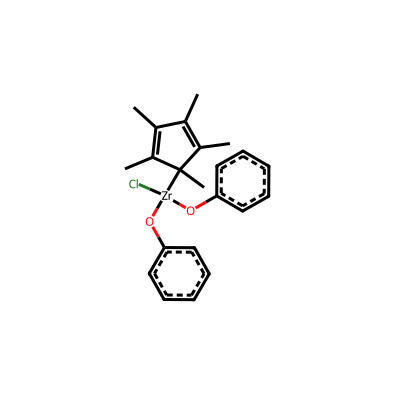 CC1=C(C)[C](C)([Zr]([Cl])([O]c2ccccc2)[O]c2ccccc2)C(C)=C1C